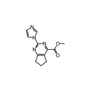 COC(=O)c1nc(-n2ccnc2)nc2c1CCC2